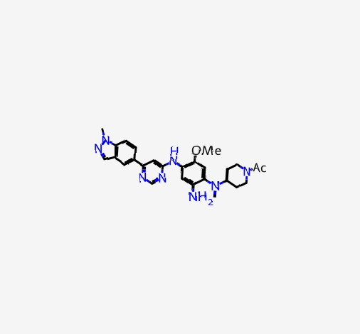 COc1cc(N(C)C2CCN(C(C)=O)CC2)c(N)cc1Nc1cc(-c2ccc3c(cnn3C)c2)ncn1